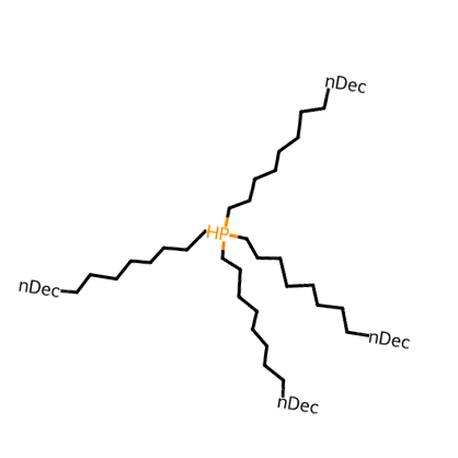 CCCCCCCCCCCCCCCCCC[PH](CCCCCCCCCCCCCCCCCC)(CCCCCCCCCCCCCCCCCC)CCCCCCCCCCCCCCCCCC